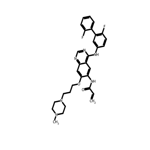 C=CC(=O)Nc1cc2c(Nc3ccc(F)c(-c4ccccc4F)c3)ncnc2cc1OCCCN1CCN(C)CC1